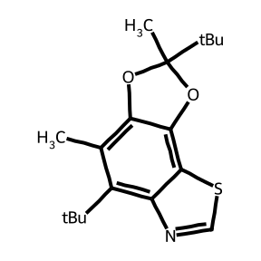 Cc1c2c(c3scnc3c1C(C)(C)C)OC(C)(C(C)(C)C)O2